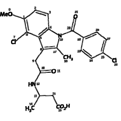 COc1ccc2c(c1Cl)c(CC(=O)NC(C)CC(=O)O)c(C)n2C(=O)c1ccc(Cl)cc1